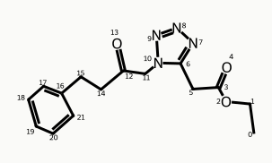 CCOC(=O)Cc1nnnn1CC(=O)CCc1ccccc1